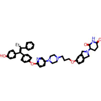 CCC(=C(c1ccc(O)cc1)c1ccc(Oc2ccc(N3CCN(CCCOc4ccc5c(c4)CN(C4CCC(=O)NC4=O)C5)CC3)cn2)cc1)c1ccccc1